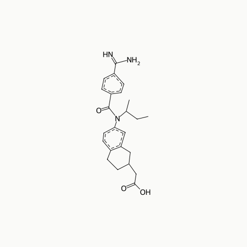 CCC(C)N(C(=O)c1ccc(C(=N)N)cc1)c1ccc2c(c1)CC(CC(=O)O)CC2